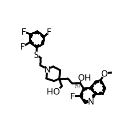 COc1ccc2ncc(F)c([C@@H](O)CCC3(CO)CCN(CCSc4cc(F)cc(F)c4F)CC3)c2c1